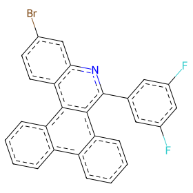 Fc1cc(F)cc(-c2nc3cc(Br)ccc3c3c4ccccc4c4ccccc4c23)c1